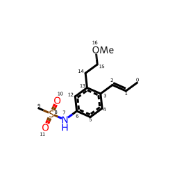 C/C=C/c1ccc(NS(C)(=O)=O)cc1CCOC